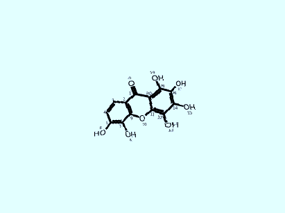 O=c1c2ccc(O)c(O)c2oc2c(O)c(O)c(O)c(O)c12